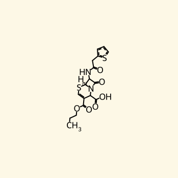 CCCOC(=O)C1=CS[C@H]2C(NC(=O)Cc3cccs3)C(=O)N2C1C(=O)O